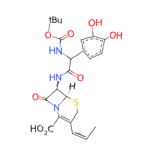 C/C=C\C1=C(C(=O)O)N2C(=O)[C@@H](NC(=O)C(NC(=O)OC(C)(C)C)c3ccc(O)c(O)c3)[C@H]2SC1